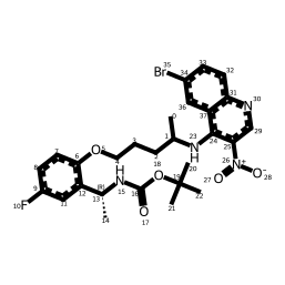 CC(CCCOc1ccc(F)cc1[C@@H](C)NC(=O)OC(C)(C)C)Nc1c([N+](=O)[O-])cnc2ccc(Br)cc12